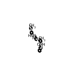 Cc1ccc(NC(=O)c2cc3ccccc3cn2)cc1N1CCc2nc(Nc3ccc(N4CCN(C)CC4)cc3)ncc2C1